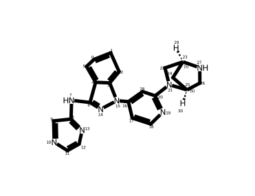 c1ccc2c(c1)c(Nc1cnccn1)nn2-c1ccnc(N2C[C@@H]3C[C@H]2CN3)c1